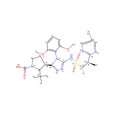 COc1cccc(OC)c1-n1c(NS(=O)(=O)[C@@H](C)[C@H](C)c2ncc(Cl)cn2)nnc1[C@@H]1CCN(C(=O)O)C1C(C)(C)C